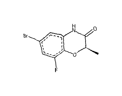 C[C@H]1Oc2c(F)cc(Br)cc2NC1=O